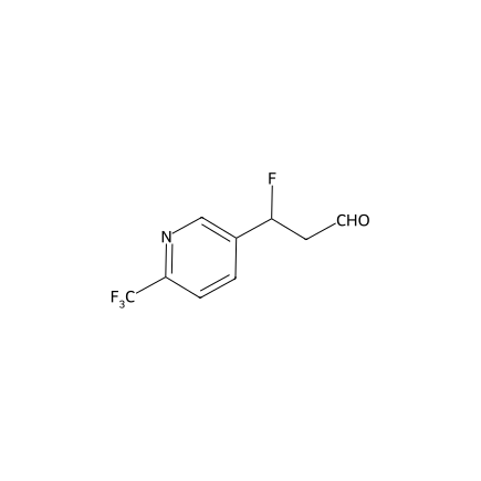 O=CCC(F)c1ccc(C(F)(F)F)nc1